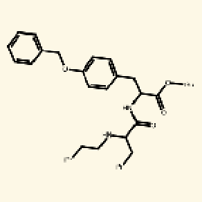 CC(C)CCNC(CC(C)C)C(=O)NC(Cc1ccc(OCc2ccccc2)cc1)C(=O)OC(C)(C)C